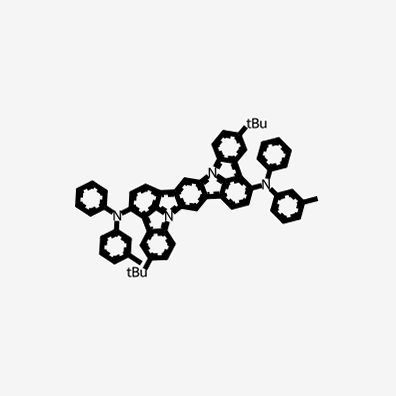 Cc1cccc(N(c2ccccc2)c2ccc3c4cc5c(cc4n4c6ccc(C(C)(C)C)cc6c2c34)c2ccc(N(c3ccccc3)c3cccc(C)c3)c3c4cc(C(C)(C)C)ccc4n5c23)c1